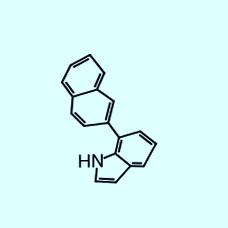 c1ccc2cc(-c3cccc4cc[nH]c34)ccc2c1